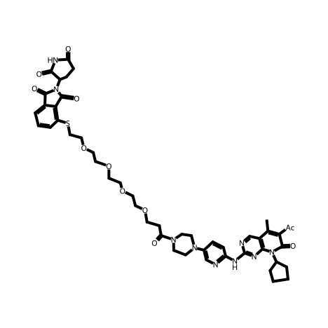 CC(=O)c1c(C)c2cnc(Nc3ccc(N4CCN(C(=O)CCOCCOCCOCCOCCSc5cccc6c5C(=O)N(C5CCC(=O)NC5=O)C6=O)CC4)cn3)nc2n(C2CCCC2)c1=O